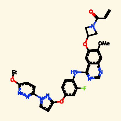 C=CC(=O)N1CC(Oc2cc3c(Nc4ccc(Oc5ccn(-c6ccc(OCC)nn6)n5)cc4F)ncnc3cc2OC)C1